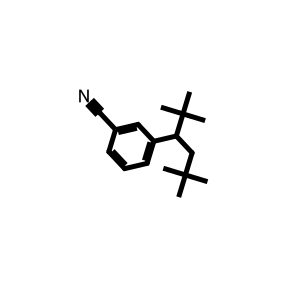 CC(C)(C)CC(c1cccc(C#N)c1)C(C)(C)C